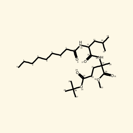 CCCCCCCCC(=O)NC(CC(C)C)C(=O)NC(C)(CCC(=O)OC(C)(C)C)C(=O)OC